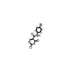 O=C1CC(Cl)=NC=C1C(=O)Nc1ccc(Br)cc1